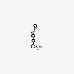 CCOC(=O)/C=C/c1ccc(-c2ccc(OCCCN3CCCCC3)cc2)cc1